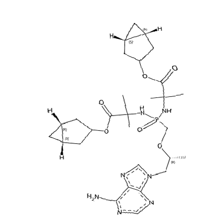 C[C@H](Cn1cnc2c(N)ncnc21)OCP(=O)(NC(C)(C)C(=O)OC1C[C@@H]2C[C@@H]2C1)NC(C)(C)C(=O)OC1C[C@@H]2C[C@@H]2C1